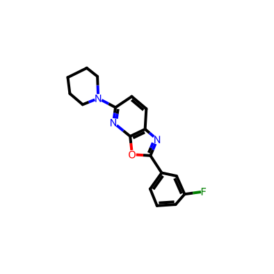 Fc1cccc(-c2nc3ccc(N4CCCCC4)nc3o2)c1